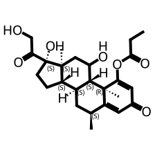 CCC(=O)OC1=CC(=O)C=C2[C@@H](C)C[C@@H]3[C@H](C(O)C[C@@]4(C)[C@H]3CC[C@@]4(O)C(=O)CO)[C@@]12C